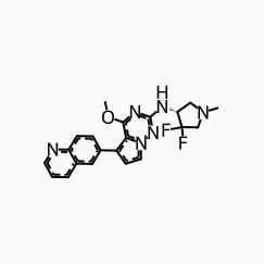 COc1nc(N[C@@H]2CN(C)CC2(F)F)nn2ccc(-c3ccc4ncccc4c3)c12